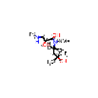 CNN(C(O)C(O)CNC(C)C)C(C)(C)CC(C)(C)O